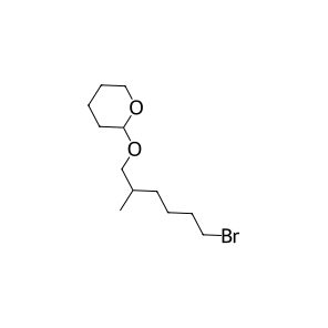 CC(CCCCBr)COC1CCCCO1